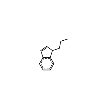 [CH2]CCC1C=Cc2ccccc21